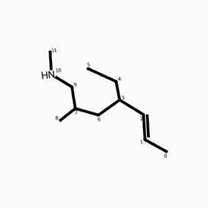 C/C=C/C(CC)CC(C)CNC